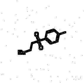 CCC(C)CCS(=O)(=O)c1ccc(C)cc1